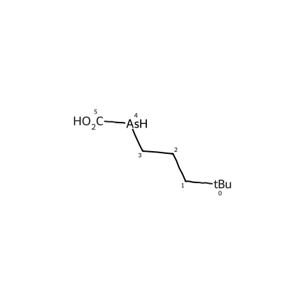 CC(C)(C)CCC[AsH]C(=O)O